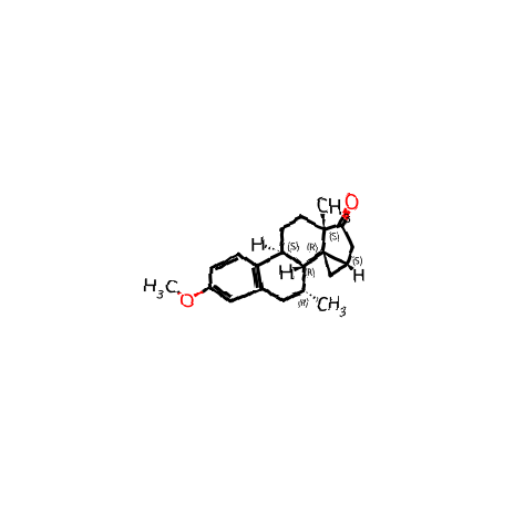 COc1ccc2c(c1)C[C@@H](C)[C@@H]1[C@@H]2CC[C@]2(C)C(=O)C[C@@H]3C[C@@]312